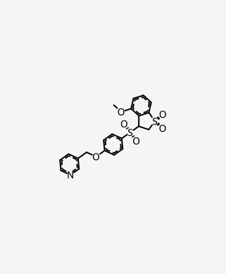 COc1cccc2c1C(S(=O)(=O)c1ccc(OCc3cccnc3)cc1)CS2(=O)=O